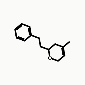 CC1=CCOC(CCc2ccccc2)C1